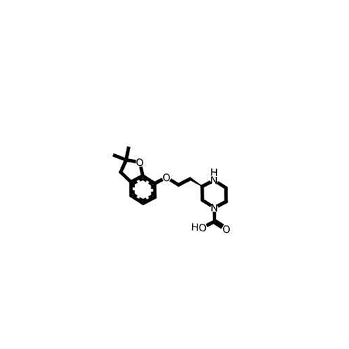 CC1(C)Cc2cccc(OCC[C@@H]3CN(C(=O)O)CCN3)c2O1